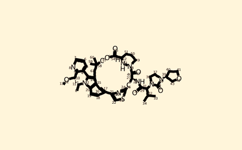 CCn1c(-c2cccnc2[C@H](C)OC)c2c3cc(ccc31)-c1csc(n1)C[C@H](NC(=O)C(C(C)C)N1CCN([C@H]3CCOC3)C1=O)C(=O)N1CCC[C@H](N1)C(=O)OCC(C)(C)C2